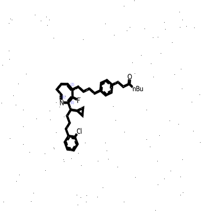 CCCCC(=O)CCc1ccc(CCCCC2=C/CC/C=N/C(C(CCCc3ccccc3Cl)C3CC3)=C\2F)cc1